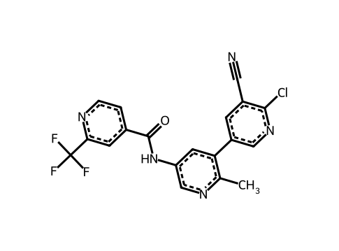 Cc1ncc(NC(=O)c2ccnc(C(F)(F)F)c2)cc1-c1cnc(Cl)c(C#N)c1